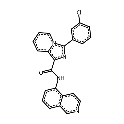 O=C(Nc1cccc2cnccc12)c1nc(-c2cccc(Cl)c2)n2ccccc12